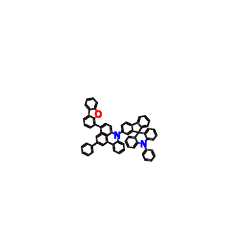 c1ccc(-c2cccc(-c3ccccc3N(c3ccc(-c4cccc5c4oc4ccccc45)cc3)c3ccc4c(c3)C3(c5ccccc5-4)c4ccccc4N(c4ccccc4)c4ccccc43)c2)cc1